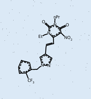 CCCn1c(=O)c([N+](=O)[O-])c(/C=C/c2cnn(Cc3ccccc3C(F)(F)F)c2)n(CC)c1=O